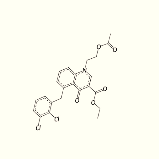 CCOC(=O)c1cn(CCOC(C)=O)c2cccc(Cc3cccc(Cl)c3Cl)c2c1=O